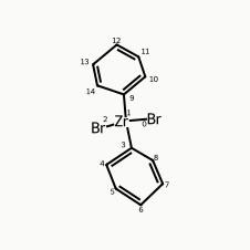 [Br][Zr]([Br])([c]1ccccc1)[c]1ccccc1